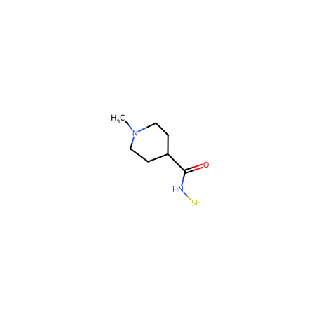 CN1CCC(C(=O)NS)CC1